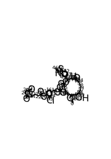 C=CC[C@H]1C(=O)C(C)(C)[C@@H](OC(=O)OCc2ccc(OC(=O)CCCN3C(=O)C=CC3=O)c(Cl)c2)CC(=O)O[C@H](c2ccc3sc(C)nc3c2)C[C@H]2O[C@@]2(C)CCC[C@H](C)[C@@H]1O